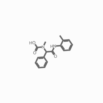 Cc1ccccc1NC(=O)C(c1ccccc1)N(C)C(=O)O